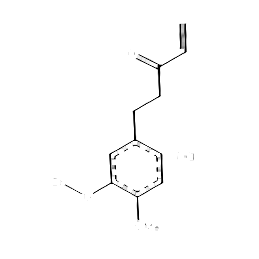 C=CC(=O)CCc1ccc(OC)c(OCC)c1.Cl